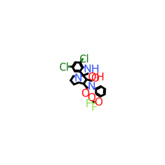 O=C1C2C3CCCN3C3(c4cc(Cl)cc(Cl)c4NC3O)C2C(=O)N1c1cccc2c1OC(F)(F)O2